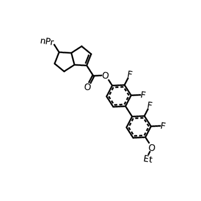 CCCC1CCC2C(C(=O)Oc3ccc(-c4ccc(OCC)c(F)c4F)c(F)c3F)=CCC12